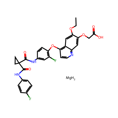 CCOc1cc2c(Oc3ccc(NC(=O)C4(C(=O)Nc5ccc(F)cc5)CC4)cc3F)ccnc2cc1OCC(=O)O.[MgH2]